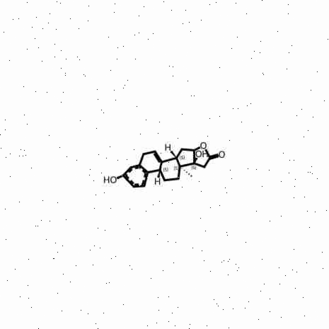 C[C@]12CC[C@H]3C(=CCc4cc(O)ccc43)[C@@H]1CC1OC(=O)C[C@@]12O